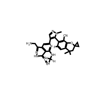 [2H]C([2H])([2H])Nc1nc(-c2cnn(C)c2-c2c(F)cc3c(c2C#N)OC2(CC2)CC3(C)C)cc2c1C(=C=O)NN=C2CN